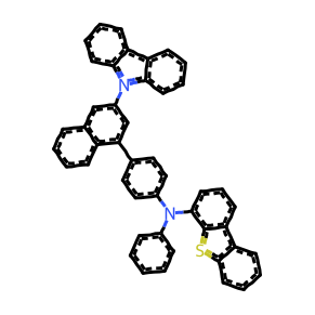 c1ccc(N(c2ccc(-c3cc(-n4c5ccccc5c5ccccc54)cc4ccccc34)cc2)c2cccc3c2sc2ccccc23)cc1